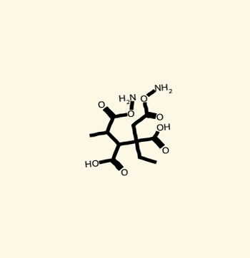 CCC(CC(=O)ON)(C(=O)O)C(C(=O)O)C(C)C(=O)ON